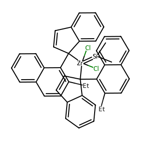 CCc1ccc2ccccc2c1[C]1([Zr]([Cl])([Cl])(=[Si](C)C)[C]2(c3c(CC)ccc4ccccc34)C=Cc3ccccc32)C=Cc2ccccc21